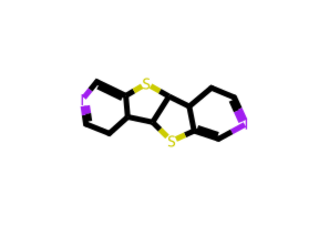 C1=IC=C2SC3C4CC=IC=C4SC3C2C1